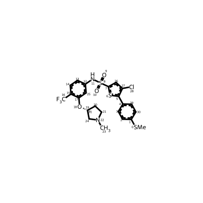 CSc1ccc(-c2sc(S(=O)(=O)Nc3ccc(C(F)(F)F)c(O[C@@H]4CCN(C)C4)c3)cc2Cl)cc1